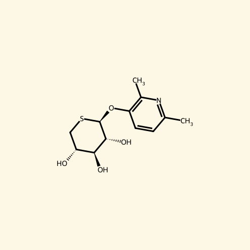 Cc1ccc(O[C@@H]2SC[C@@H](O)[C@H](O)[C@H]2O)c(C)n1